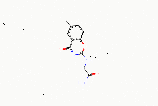 Cc1ccc2oc(NCC(N)=O)nc(=O)c2c1